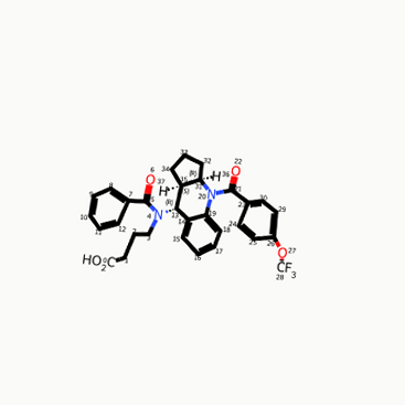 O=C(O)CCCN(C(=O)c1ccccc1)[C@H]1c2ccccc2N(C(=O)c2ccc(OC(F)(F)F)cc2)[C@@H]2CCC[C@@H]21